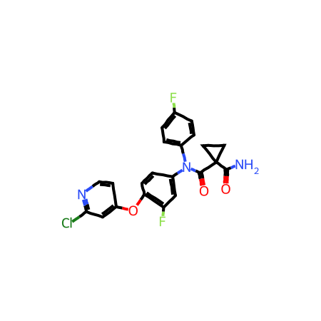 NC(=O)C1(C(=O)N(c2ccc(F)cc2)c2ccc(Oc3ccnc(Cl)c3)c(F)c2)CC1